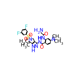 CN(C)c1ccc(C(=O)Nc2n[nH]c3c2CN(S(=O)(=O)c2cc(F)cc(F)c2)C3(C)C)c(NC(=O)CN)c1